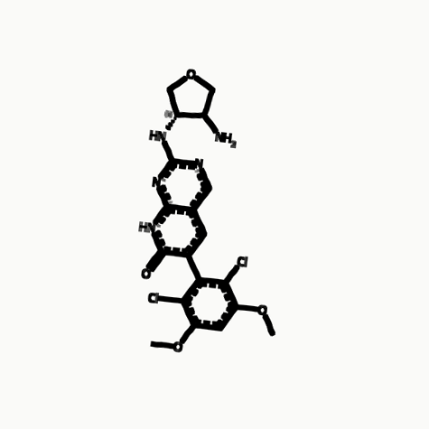 COc1cc(OC)c(Cl)c(-c2cc3cnc(N[C@@H]4COCC4N)nc3[nH]c2=O)c1Cl